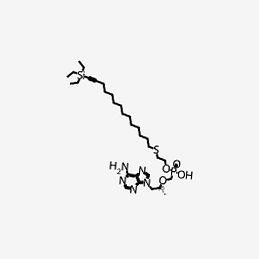 CC[Si](C#CCCCCCCCCCCCCSCCOP(=O)(O)CO[C@H](C)Cn1cnc2c(N)ncnc21)(CC)CC